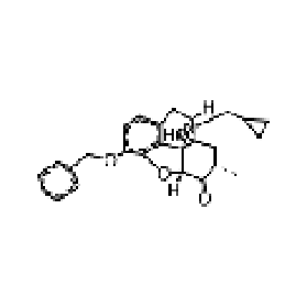 C[C@H]1CC2(O)[C@H]3Cc4ccc(OCc5ccccc5)c5c4[C@@]2(CCN3CC2CC2)[C@@H](O5)C1=O